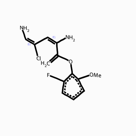 C=C(Oc1c(F)cccc1OC)/C(N)=C\C(Cl)=C/N